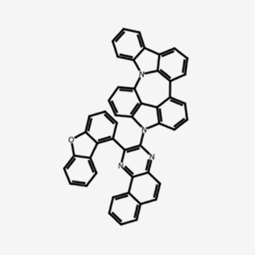 c1ccc2c(c1)ccc1nc(-n3c4cccc5c6cccc7c8ccccc8n(c8cccc3c8c54)c67)c(-c3cccc4oc5ccccc5c34)nc12